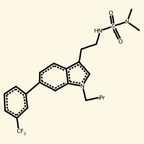 CC(C)Cn1cc(CCNS(=O)(=O)N(C)C)c2ccc(-c3cccc(C(F)(F)F)c3)cc21